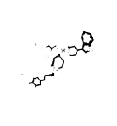 Cc1cc(/C=C/C(=O)N2CCC(N(CC(O)CO)N3CCC(c4c[nH]c5ccccc45)CC3)CC2)cc(F)c1F